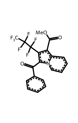 COC(=O)c1c(C(F)(F)C(F)(F)C(F)(F)F)c(C(=O)c2ccccc2)n2ccccc12